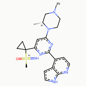 CC(C)N1CCN(c2cc(C3([S@](C)(=N)=O)CC3)nc(-c3ccnc4[nH]ccc34)n2)[C@H](C)C1